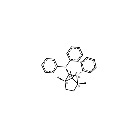 CC1(C)[C@@H]2CC[C@@]1(C)[C@@H](c1ccccn1)[C@@H]2P(c1ccccc1)c1ccccc1